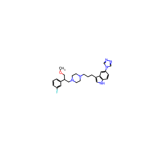 COCC(CN1CCN(CCCc2c[nH]c3ccc(-n4cnnc4)cc23)CC1)c1cccc(F)c1